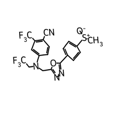 C[S+]([O-])c1ccc(-c2nnc(CN(CC(F)(F)F)c3ccc(C#N)c(C(F)(F)F)c3)o2)cc1